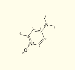 Cc1cc(N(C)C)cc[n+]1[O-]